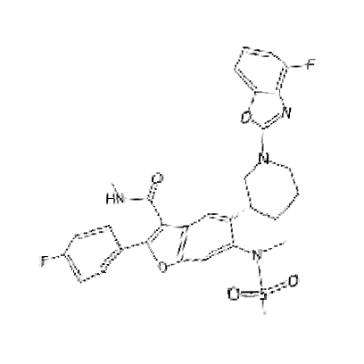 CNC(=O)c1c(-c2ccc(F)cc2)oc2cc(N(C)S(C)(=O)=O)c([C@H]3CCCN(c4nc5c(F)cccc5o4)C3)cc12